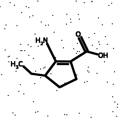 CCC1CCC(C(=O)O)=C1N